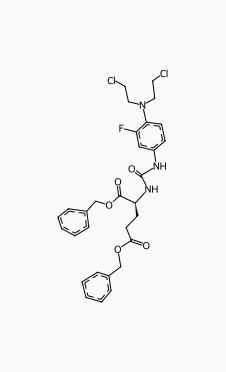 O=C(Nc1ccc(N(CCCl)CCCl)c(F)c1)N[C@@H](CCC(=O)OCc1ccccc1)C(=O)OCc1ccccc1